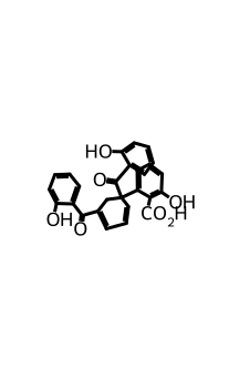 O=C(C1=CC=CC(C(=O)c2ccccc2O)(c2cccc(O)c2C(=O)O)C1)c1ccccc1O